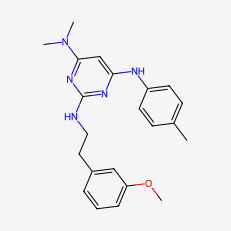 COc1cccc(CCNc2nc(Nc3ccc(C)cc3)cc(N(C)C)n2)c1